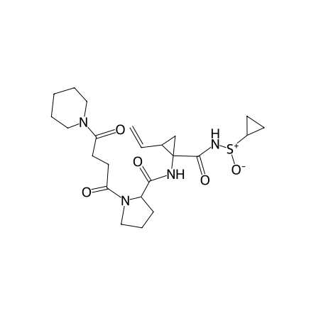 C=CC1CC1(NC(=O)C1CCCN1C(=O)CCC(=O)N1CCCCC1)C(=O)N[S+]([O-])C1CC1